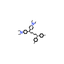 CCN(CC)c1ccc(C(C=CC=CC(c2ccc(C)cc2)c2ccc(C)cc2)=C2C=CC(=[N+](CC)CC)C=C2)cc1